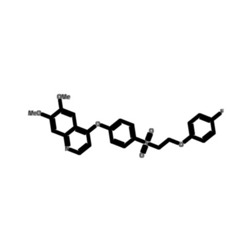 COc1cc2nccc(Oc3ccc(S(=O)(=O)CCOc4ccc(F)cc4)cc3)c2cc1OC